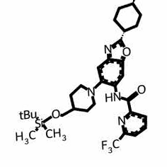 CC(C)(C)[Si](C)(C)OCC1CCN(c2cc3nc([C@H]4CC[C@H](C=O)CC4)oc3cc2NC(=O)c2cccc(C(F)(F)F)n2)CC1